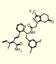 C=C/C(F)=C(\C=C\c1cccnc1[C@H](Cc1cc(F)cc(F)c1)NC(=O)Cn1nc(C(F)(F)F)c2c1CC(=O)CC2)C(N)=O